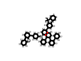 CC1(C)c2ccccc2-c2ccc(-c3ccc(N(c4ccc(-c5cccc6c5oc5ccccc56)cc4)c4ccccc4-c4ccccc4-c4ccccc4-c4ccccc4)cc3)cc21